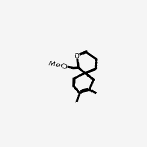 COC1OCCCC12CCC(C)=C(C)C2